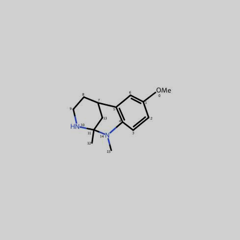 COc1ccc2c(c1)C1CCNC(C)(C1)N2C